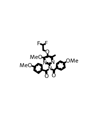 COc1ccc(C(=O)N(C(=O)c2ccc(OC)cc2)c2nc(C)c(OCC(F)F)c(OC)n2)cc1